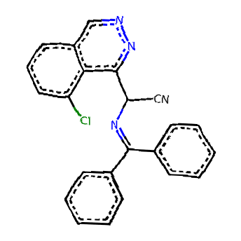 N#CC(N=C(c1ccccc1)c1ccccc1)c1nncc2cccc(Cl)c12